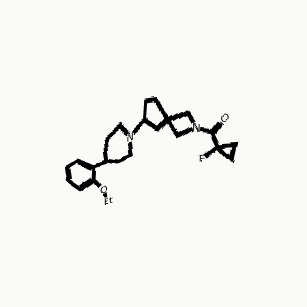 CCOc1ccccc1C1CCN(C2CCC3(C2)CN(C(=O)C2(F)CC2)C3)CC1